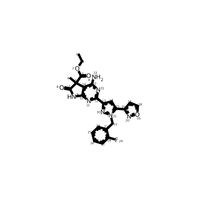 CCOC(=O)C1(C)C(=O)Nc2nc(-c3cc(-c4ccon4)n(Cc4ccccc4F)n3)nc(N)c21